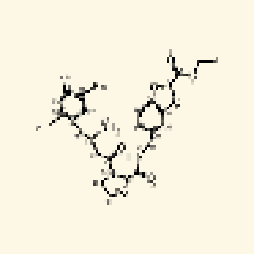 CCOC(=O)C1Oc2ccc(CNC(=O)C3SCCN3C(=O)CC(N)Cc3cc(F)c(F)cc3F)cc2O1